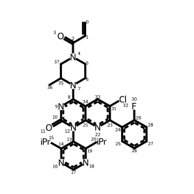 C=CC(=O)N1CCN(c2nc(=O)n(-c3c(C(C)C)ncnc3C(C)C)c3nc(-c4ccccc4F)c(Cl)cc23)C(C)C1